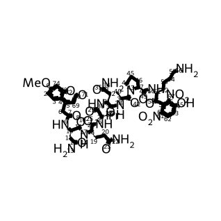 COc1ccc2c(CC(=O)N[C@@H](CC(N)=O)C(=O)N[C@@H](CCC(N)=O)C(=O)N[C@H](C(=O)N[C@@H](CC(N)=O)C(=O)N[C@@H](C)C(=O)N3CCC[C@H]3C(=O)N[C@@H](CCCCN)C(=O)c3c([N+](=O)[O-])ccc(O)c3[N+](=O)[O-])C(C)C)cc(=O)oc2c1